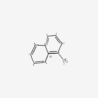 FC(F)(F)c1cccc2[c]cccc12